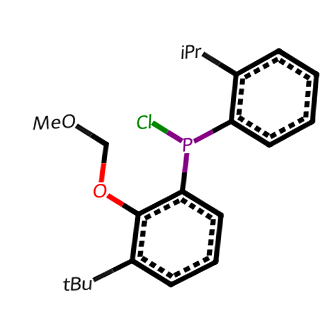 COCOc1c(P(Cl)c2ccccc2C(C)C)cccc1C(C)(C)C